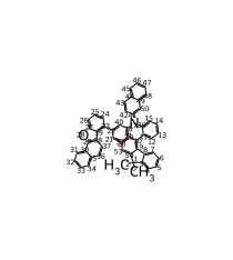 CC1(C)c2ccccc2-c2c(-c3ccccc3N(c3cccc(-c4cccc5oc6c7ccccc7ccc6c45)c3)c3ccc4ccccc4c3)cccc21